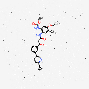 CC(C)(C)OC(=O)Nc1cc(OCC(F)(F)F)c(C(F)(F)F)cc1NC(=O)CC(=O)c1cccc(-c2ccc(C3CC3)nc2)c1